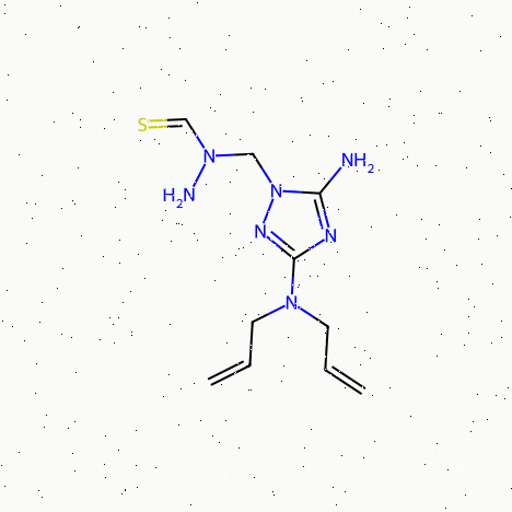 C=CCN(CC=C)c1nc(N)n(CN(N)C=S)n1